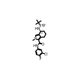 Cn1cc2c(c1C(=O)Nc1ccc(F)c(Cl)c1)CCC[C@@H]2N[S@@+]([O-])C(C)(C)C